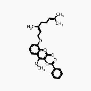 COc1c(OC(=O)c2ccccc2)c(=O)oc2c(OC/C=C(\C)CCC=C(C)C)cccc12